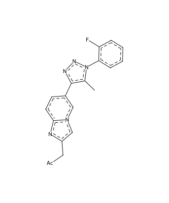 CC(=O)Cc1cn2cc(-c3nnn(-c4ccccc4F)c3C)ccc2n1